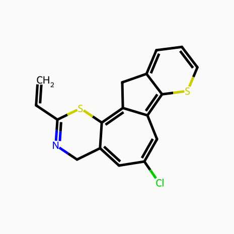 C=CC1=NCC2=CC(Cl)=CC3=C4SC=CC=C4CC3=C2S1